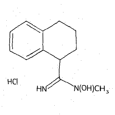 CN(O)C(=N)C1CCCc2ccccc21.Cl